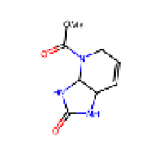 COC(=O)N1CC=CC2NC(=O)NC21